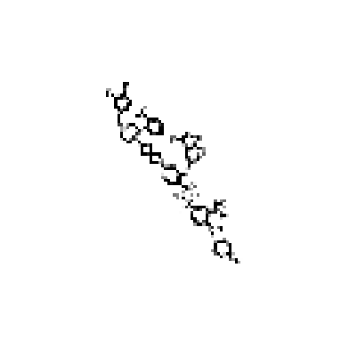 CC(C)c1ccccc1[C@@H]1CN(Cc2ccc(F)c(F)c2)CCN1C1CC2(C1)CN(c1ccc(C(=O)NS(=O)(=O)c3ccc(NC[C@H]4CC[C@](C)(O)CC4)c([N+](=O)[O-])c3)c(Oc3cnc4[nH]cc(F)c4c3)c1)C2